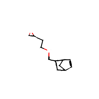 C1=CC2CC1CC2COCCC1CO1